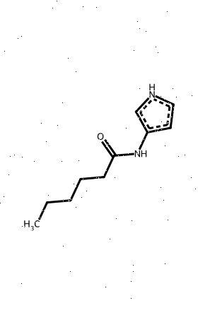 CCCCCC(=O)Nc1cc[nH]c1